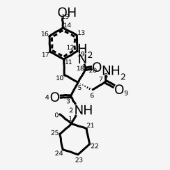 CC1(NC(=O)[C@@](CC(N)=O)(Cc2ccc(O)cc2)C(N)=O)CCCCC1